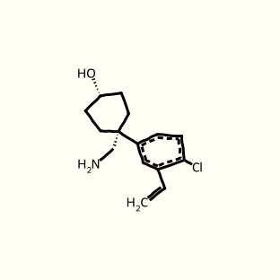 C=Cc1cc([C@]2(CN)CC[C@@H](O)CC2)ccc1Cl